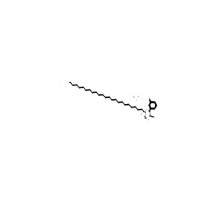 CCCCCCCCCCCCCCCCCCCCCCCCCCCCCCCCCC1=NNC(C=S)N1c1cccc(SC)c1